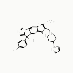 COc1nc2ccc(C(O)(c3ccc(Cl)cc3)c3cncn3C)cc2c(Cl)c1CN1CCC(n2cccn2)CC1